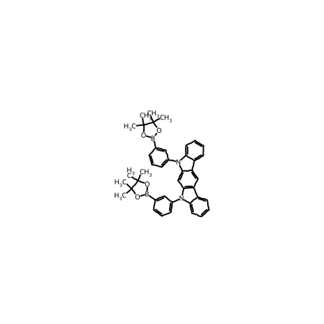 CC1(C)OB(c2cccc(-n3c4ccccc4c4cc5c6ccccc6n(-c6cccc(B7OC(C)(C)C(C)(C)O7)c6)c5cc43)c2)OC1(C)C